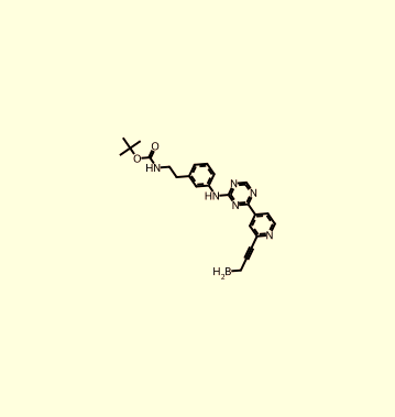 BCC#Cc1cc(-c2ncnc(Nc3cccc(CCNC(=O)OC(C)(C)C)c3)n2)ccn1